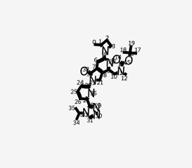 CC1CCN1c1cc2c(c(CN(C)C(=O)OC(C)(C)C)n1)CN(c1cccc(-c3nncn3C(C)C)n1)C2=O